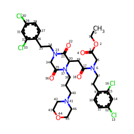 CCOC(=O)CN(CCc1ccc(Cl)cc1Cl)C(=O)CC1C(=O)N(CCc2ccc(Cl)cc2Cl)CC(=O)N1CCCN1CCOCC1